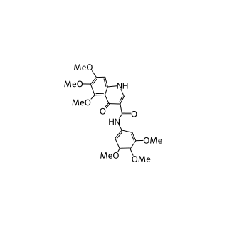 COc1cc(NC(=O)c2c[nH]c3cc(OC)c(OC)c(OC)c3c2=O)cc(OC)c1OC